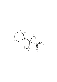 CC(C)(C(=O)O)C1CCCCC1